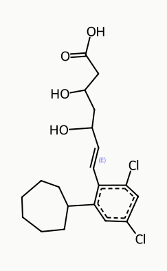 O=C(O)CC(O)CC(O)/C=C/c1c(Cl)cc(Cl)cc1C1CCCCCC1